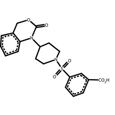 O=C(O)c1cccc(S(=O)(=O)N2CCC(N3C(=O)OCc4ccccc43)CC2)c1